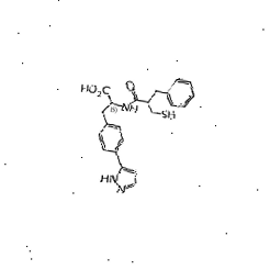 O=C(N[C@@H](Cc1ccc(-c2ccn[nH]2)cc1)C(=O)O)C(CS)Cc1ccccc1